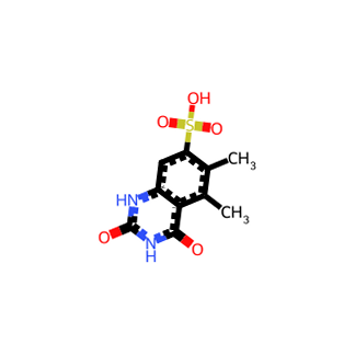 Cc1c(S(=O)(=O)O)cc2[nH]c(=O)[nH]c(=O)c2c1C